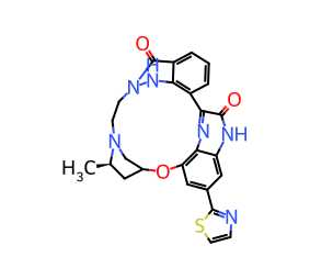 C[C@@H]1CC2CN1CCn1[nH]c3c(cccc3c1=O)-c1nc3c(cc(-c4nccs4)cc3[nH]c1=O)O2